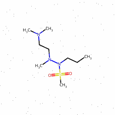 CCCN(N(C)CCN(C)C)S(C)(=O)=O